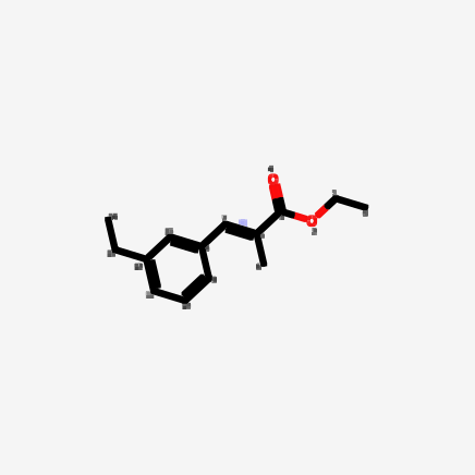 CCOC(=O)/C(C)=C/c1cccc(CC)c1